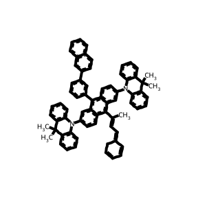 C/C(=C\C=C1\C=CC=CC1)c1c2cc(N3c4ccccc4C(C)(C)c4ccccc43)ccc2c(-c2cccc(-c3ccc4ccccc4c3)c2)c2cc(N3c4ccccc4C(C)(C)c4ccccc43)ccc12